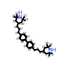 CC1(C)CC(CCCc2ccc(-c3ccc(CCCC4CC(C)(C)NC(C)(C)C4)cc3)cc2)CC(C)(C)N1